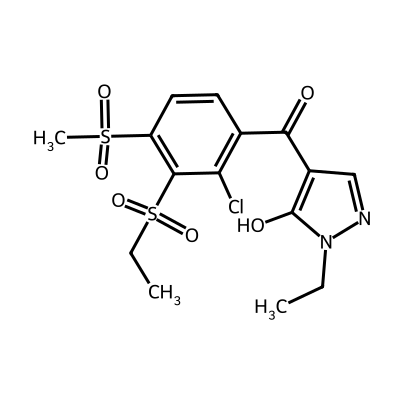 CCn1ncc(C(=O)c2ccc(S(C)(=O)=O)c(S(=O)(=O)CC)c2Cl)c1O